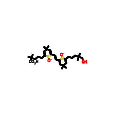 CC1(C)C=C(C=CC2=CC(C)(C)C=C(CCCC(C)(C)C(=O)O)[S+]2[O-])[S+]([O-])C(CCCC(C)(C)CO)=C1